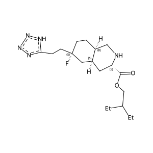 CCC(CC)COC(=O)[C@@H]1C[C@H]2C[C@@](F)(CCc3nnn[nH]3)CC[C@H]2CN1